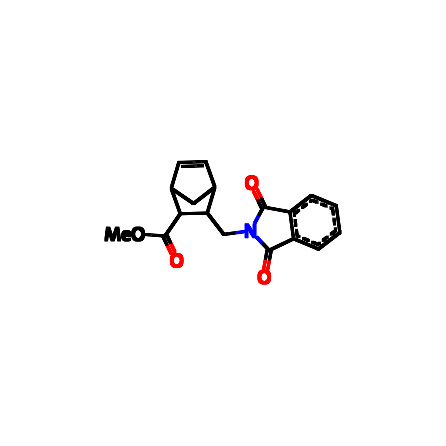 COC(=O)C1C2C=CC(C2)C1CN1C(=O)c2ccccc2C1=O